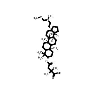 COCN(C)CC[C@]12CCC[C@@H]1[C@H]1CCC3[C@@]4(C)CC[C@H](OC(=O)CC(C)(C)C(=O)O)C(C)(C)C4CC[C@@]3(C)[C@]1(C)CC2